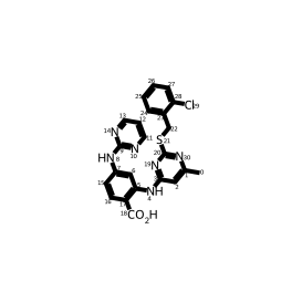 Cc1cc(Nc2cc(Nc3ncccn3)ccc2C(=O)O)nc(SCc2ccccc2Cl)n1